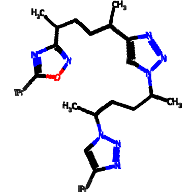 CC(C)c1cn(C(C)CCC(C)n2cc(C(C)CCC(C)c3noc(C(C)C)n3)nn2)nn1